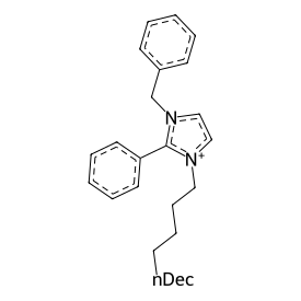 CCCCCCCCCCCCCC[n+]1ccn(Cc2ccccc2)c1-c1ccccc1